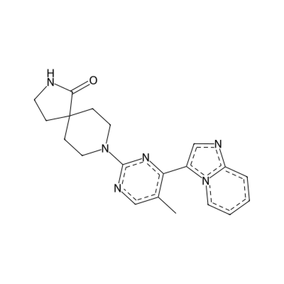 Cc1cnc(N2CCC3(CCNC3=O)CC2)nc1-c1cnc2ccccn12